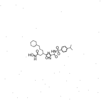 CC(C)c1ccc(S(=O)(=O)NC(=O)c2noc(C(CCCC3CCCCC3)CC(=O)NO)n2)cc1